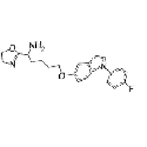 NC(CCCCOc1ccc2c(ccn2-c2ccc(F)cc2)c1)C1=NCCO1